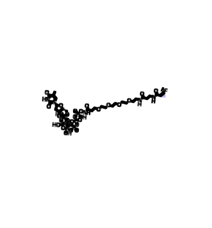 CC(=O)/C=C\C(=O)NCCC(=O)NCCOCCOCCOCCOCCC(=O)NOP(=O)(O)OP(=O)(O)OP(=O)(O)OP(=O)(O)OP(=O)(O)OP(=O)(O)OC[C@H]1OC(n2cc(C)c(=O)[nH]c2=O)CC1O